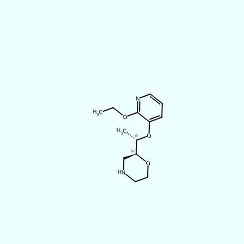 CCOc1ncccc1O[C@@H](C)[C@@H]1CNCCO1